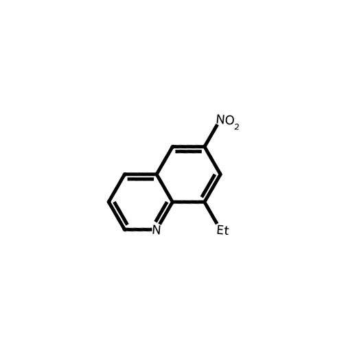 CCc1cc([N+](=O)[O-])cc2cccnc12